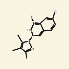 Cc1nn(N2C=c3ccc(Cl)cc3=[N+]([O-])N2)c(C)c1C